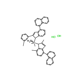 CC1=Cc2c(-c3cccc4ccccc34)ccc(C)c2[CH]1[Zr]([CH3])([CH3])(=[SiH2])[CH]1C(c2cccc(C)c2)=Cc2c(-c3cccc4ccccc34)cccc21.Cl.Cl